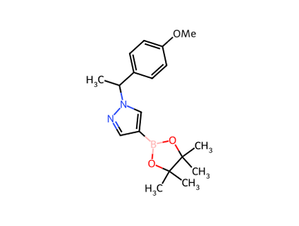 COc1ccc(C(C)n2cc(B3OC(C)(C)C(C)(C)O3)cn2)cc1